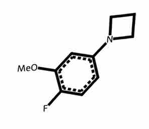 COc1cc(N2CCC2)ccc1F